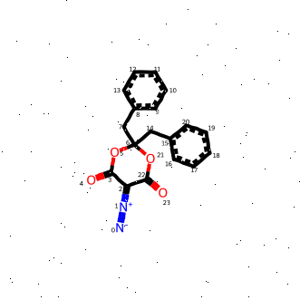 [N-]=[N+]=C1C(=O)OC(Cc2ccccc2)(Cc2ccccc2)OC1=O